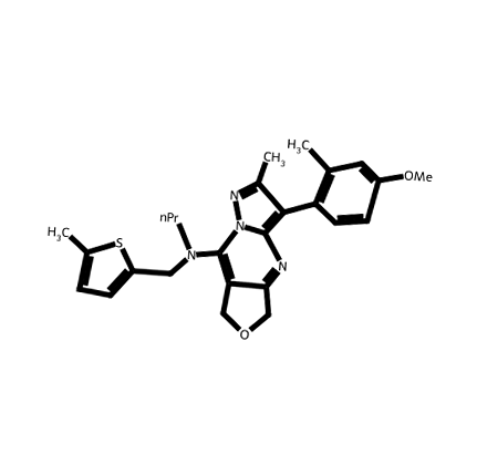 CCCN(Cc1ccc(C)s1)c1c2c(nc3c(-c4ccc(OC)cc4C)c(C)nn13)COC2